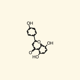 O=c1cc(-c2ccc(O)cc2)oc2c(O)ccc(O)c12